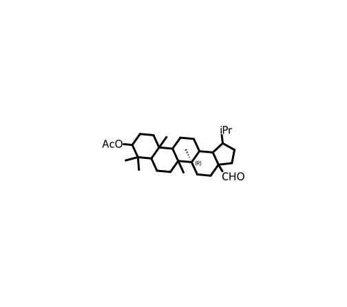 CC(=O)OC1CCC2(C)C(CCC3(C)C2CCC2C4C(C(C)C)CCC4(C=O)CC[C@]23C)C1(C)C